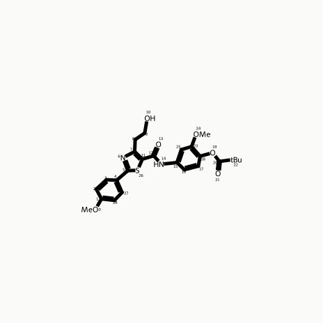 COc1ccc(-c2nc(CCO)c(C(=O)Nc3ccc(OC(=O)C(C)(C)C)c(OC)c3)s2)cc1